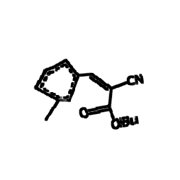 Cc1cccc(C=C(C#N)C(=O)OCC(C)C)c1